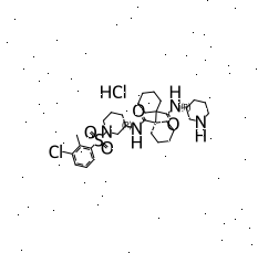 Cc1c(Cl)cccc1S(=O)(=O)N1CCC[C@@H](NC(=O)C2(C3(C(=O)N[C@@H]4CCCNC4)CCCCC3)CCCCC2)C1.Cl